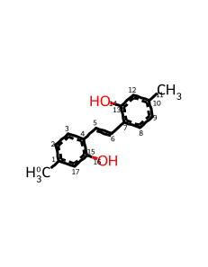 Cc1ccc(/C=C/c2ccc(C)cc2O)c(O)c1